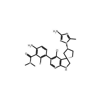 Cc1nc(N)nn1[C@H]1CC[C@@]2(CNc3ncc(-c4ccc(N)c(C(=O)N(C)C)c4F)c(Cl)c32)C1